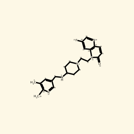 Cc1cc(CNC2CCN(CCn3c(=O)ccc4ncc(F)cc43)CC2)cnc1C